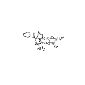 Nc1nc(NCc2ccccc2)c2ncn([C@@H]3O[C@H](CO)[C@H](O)[C@@H]3O)c2n1